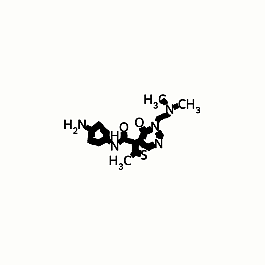 Cc1sc2ncn(CCN(C)C)c(=O)c2c1C(=O)Nc1ccc(N)cc1